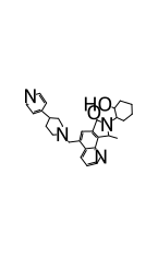 CC1c2c(cc(CN3CCC(c4ccncc4)CC3)c3cccnc23)C(=O)N1C1CCCCC1O